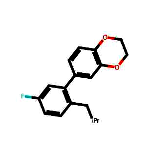 CC(C)Cc1ccc(F)cc1-c1ccc2c(c1)OCCO2